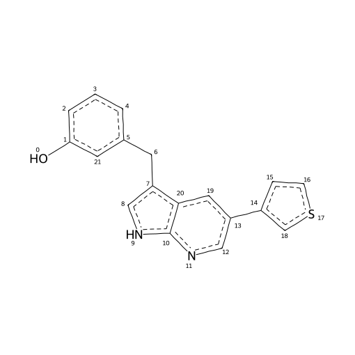 Oc1cccc(Cc2c[nH]c3ncc(-c4ccsc4)cc23)c1